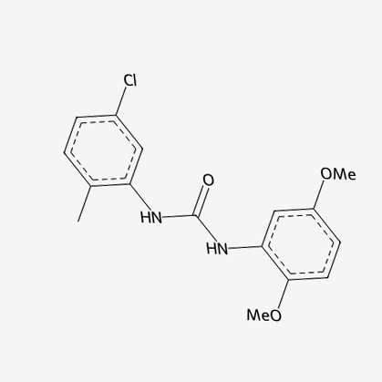 COc1ccc(OC)c(NC(=O)Nc2cc(Cl)ccc2C)c1